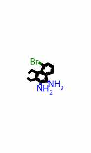 CCc1c(N)c(N)c2cccc(Br)c2c1CC